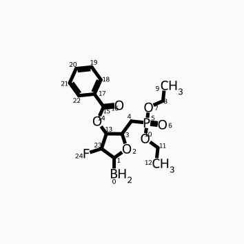 BC1OC(CP(=O)(OCC)OCC)C(OC(=O)c2ccccc2)C1F